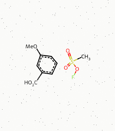 COc1cccc(C(=O)O)c1.CS(=O)(=O)OF